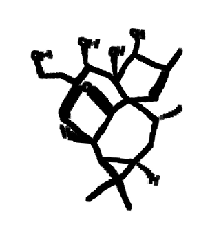 CC1=CC23C(=O)[C@@H](C=C(CO)[C@@H](O)[C@]2(O)C1O)C1[C@@H](C[C@H]3C)C1(C)C